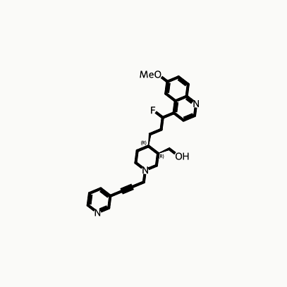 COc1ccc2nccc(C(F)CC[C@@H]3CCN(CC#Cc4cccnc4)C[C@@H]3CO)c2c1